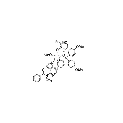 COc1ccc(C(O[C@H]2O[C@@H](n3cnc4c(N(C)C(=O)c5ccccc5)ncnc43)[C@H](OC)[C@@H]2OP(OCCC#N)N(C(C)C)C(C)C)(c2ccccc2)c2ccc(OC)cc2)cc1